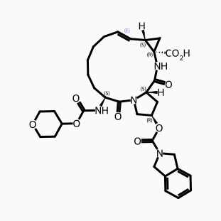 O=C(N[C@H]1CCCCC/C=C/[C@@H]2C[C@@]2(C(=O)O)NC(=O)[C@@H]2C[C@@H](OC(=O)N3Cc4ccccc4C3)CN2C1=O)OC1CCOCC1